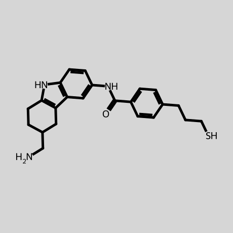 NCC1CCc2[nH]c3ccc(NC(=O)c4ccc(CCCS)cc4)cc3c2C1